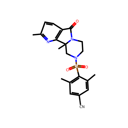 Cc1ccc2c(n1)C1(C)CN(S(=O)(=O)c3c(C)cc(C#N)cc3C)CCN1C2=O